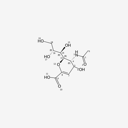 CC(=O)N[C@@H]1C(O)C=C(C(=O)O)O[C@H]1[C@H](O)[C@H](O)CO